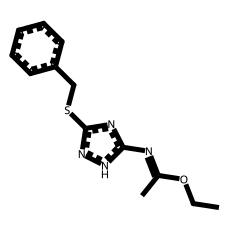 CCO/C(C)=N/c1nc(SCc2ccccc2)n[nH]1